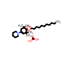 CCCCCCCCCCCOC1(O)C(C)(C)C=C(N2CCCCC2)CC1(C)C.O=C(O)O